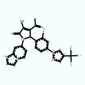 CC(=O)C1=C(O)C(=O)N(c2ccn3ccnc3c2)C1c1ccc(-n2cc(C(F)(F)F)cn2)cc1F